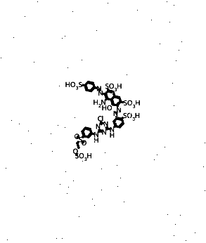 Nc1c(/N=N/c2ccc(S(=O)(=O)O)cc2)c(S(=O)(=O)O)cc2cc(S(=O)(=O)O)c(/N=N/c3cc(Nc4nc(Cl)nc(Nc5cccc(S(=O)(=O)CCOS(=O)(=O)O)c5)n4)ccc3S(=O)(=O)O)c(O)c12